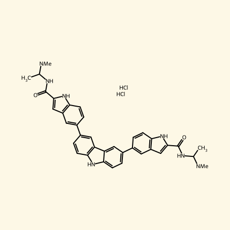 CNC(C)NC(=O)c1cc2cc(-c3ccc4[nH]c5ccc(-c6ccc7[nH]c(C(=O)NC(C)NC)cc7c6)cc5c4c3)ccc2[nH]1.Cl.Cl